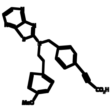 COc1ccc(CCN(Cc2ccc(C#CC(=O)O)cc2)c2nc3nccnc3s2)cc1